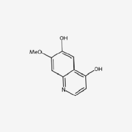 COc1cc2nccc(O)c2cc1O